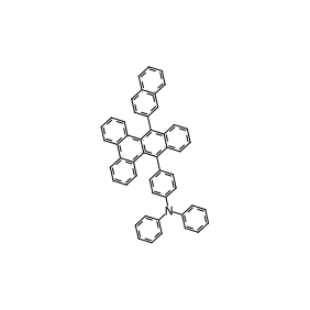 c1ccc(N(c2ccccc2)c2ccc(-c3c4ccccc4c(-c4ccc5ccccc5c4)c4c5ccccc5c5ccccc5c34)cc2)cc1